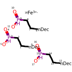 CCCCCCCCCCCC[PH](=O)[O-].CCCCCCCCCCCC[PH](=O)[O-].CCCCCCCCCCCC[PH](=O)[O-].[Fe+3]